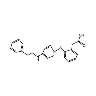 O=C(O)Cc1ccccc1Sc1ccc(NCCc2ccccc2)cc1